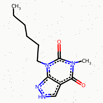 CCCCCCn1c(=O)n(C)c(=O)c2c[nH]nc21